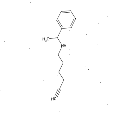 C#CCCCCNC(C)c1ccccc1